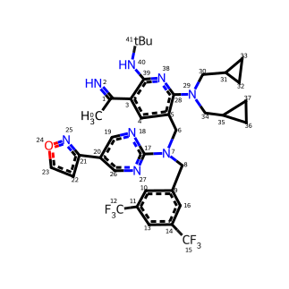 CC(=N)c1cc(CN(Cc2cc(C(F)(F)F)cc(C(F)(F)F)c2)c2ncc(-c3ccon3)cn2)c(N(CC2CC2)CC2CC2)nc1NC(C)(C)C